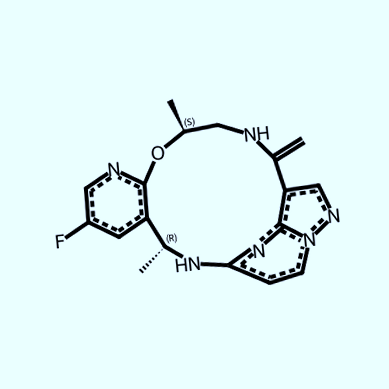 C=C1NC[C@H](C)Oc2ncc(F)cc2[C@@H](C)Nc2ccn3ncc1c3n2